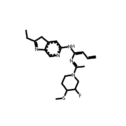 C=C/C=C(\N=C(/C)N1CCC(SC)C(F)C1)Nc1cc2c(cn1)N=C(CC)C2